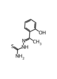 C/C(=N\NC(N)=S)c1ccccc1O